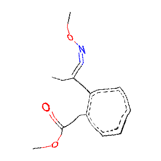 CO/N=C(\C)c1ccccc1C(=O)OC